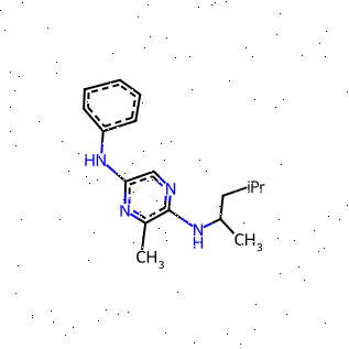 Cc1nc(Nc2ccccc2)cnc1NC(C)CC(C)C